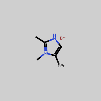 CCCc1c[nH]c(C)[n+]1C.[Br-]